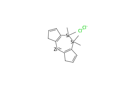 C[Si]1(C)C2=[C](CC=C2)[Zr+2][C]2=C(C=CC2)[Si]1(C)C.[Cl-].[Cl-]